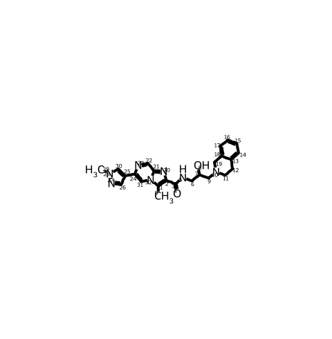 Cc1c(C(=O)NCC(O)CN2CCc3ccccc3C2)nc2cnc(-c3cnn(C)c3)cn12